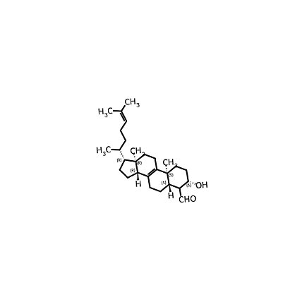 CC(C)=CCCC(C)[C@H]1CC[C@H]2C3=C(CC[C@]12C)[C@@]1(C)CC[C@H](O)C(C=O)[C@@H]1CC3